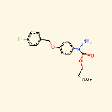 COCCOC(=O)N(N)c1ccc(OCc2ccc(F)cc2)cc1